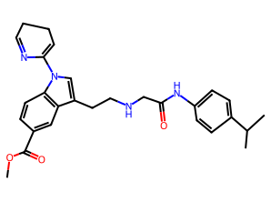 COC(=O)c1ccc2c(c1)c(CCNCC(=O)Nc1ccc(C(C)C)cc1)cn2C1=CCCC=N1